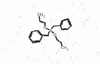 CCCO[Si](Cc1ccccc1)(Cc1ccccc1)OCCC